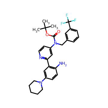 CC(C)(C)OC(=O)N(Cc1cccc(C(F)(F)F)c1)c1ccnc(-c2cc(N3CCCCC3)ccc2N)c1